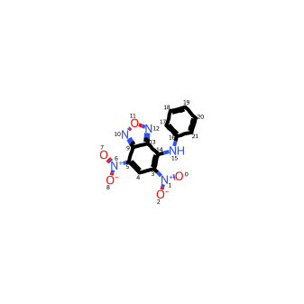 O=[N+]([O-])c1cc([N+](=O)[O-])c2nonc2c1Nc1ccccc1